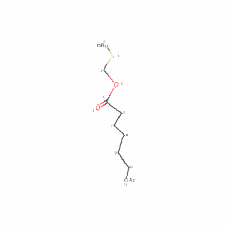 CCCCSCOC(=O)CCCCCOC(C)=O